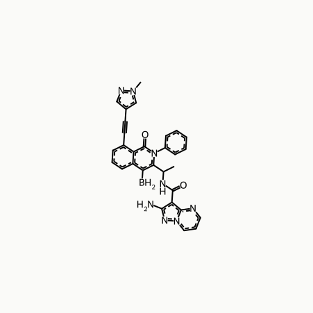 Bc1c(C(C)NC(=O)c2c(N)nn3cccnc23)n(-c2ccccc2)c(=O)c2c(C#Cc3cnn(C)c3)cccc12